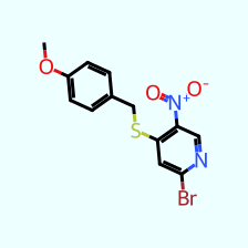 COc1ccc(CSc2cc(Br)ncc2[N+](=O)[O-])cc1